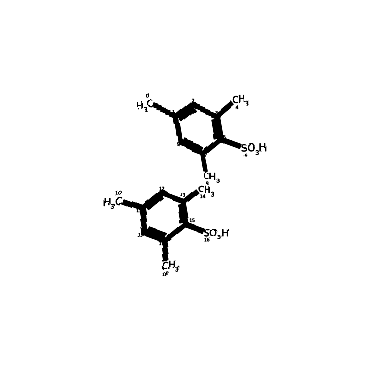 Cc1cc(C)c(S(=O)(=O)O)c(C)c1.Cc1cc(C)c(S(=O)(=O)O)c(C)c1